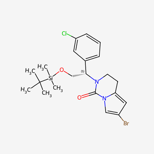 CC(C)(C)[Si](C)(C)OC[C@H](c1cccc(Cl)c1)N1CCc2cc(Br)cn2C1=O